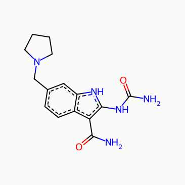 NC(=O)Nc1[nH]c2cc(CN3CCCC3)ccc2c1C(N)=O